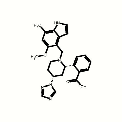 COc1cc(C)c2[nH]ccc2c1CN1CC[C@@H](n2cncn2)C[C@H]1c1ccccc1C(=O)O